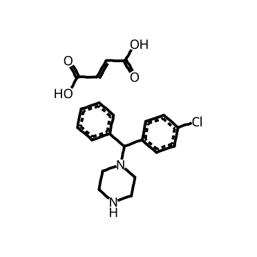 Clc1ccc(C(c2ccccc2)N2CCNCC2)cc1.O=C(O)C=CC(=O)O